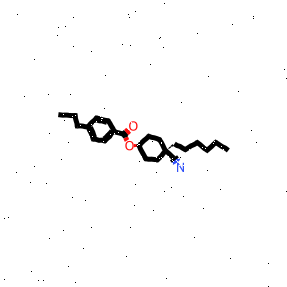 CCCCCC[C@]1(C#N)CC[C@@H](OC(=O)c2ccc(CCC)cc2)CC1